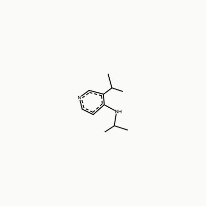 CC(C)Nc1ccncc1C(C)C